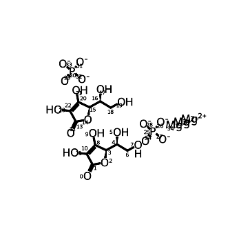 O=C1O[C@H]([C@@H](O)CO)C(O)=C1O.O=C1O[C@H]([C@@H](O)CO)C(O)=C1O.O=P([O-])([O-])[O-].O=P([O-])([O-])[O-].[Mg+2].[Mg+2].[Mg+2]